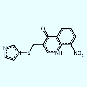 O=c1c(CSn2ccnc2)c[nH]c2c([N+](=O)[O-])cccc12